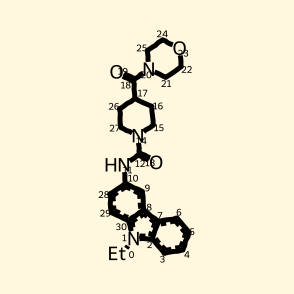 CCn1c2ccccc2c2cc(NC(=O)N3CCC(C(=O)N4CCOCC4)CC3)ccc21